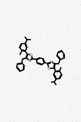 Cc1ccc(C(C)C)cc1-c1oc(-c2ccc(-c3nc(Cc4ccccc4)c(-c4cc(C(C)C)ccc4C)o3)cc2)nc1Cc1ccccc1